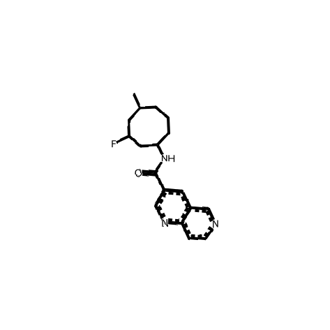 CC1CCCC(NC(=O)c2cnc3ccncc3c2)CC(F)C1